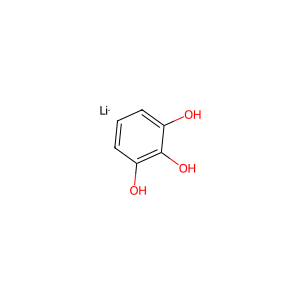 Oc1cccc(O)c1O.[Li]